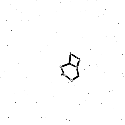 C1ONOC2SSN12